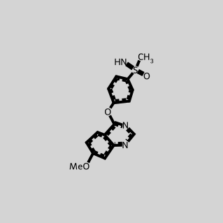 COc1ccc2c(Oc3ccc(S(C)(=N)=O)cc3)ncnc2c1